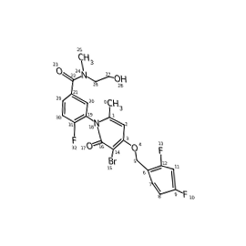 Cc1cc(OCc2ccc(F)cc2F)c(Br)c(=O)n1-c1cc(C(=O)N(C)CCO)ccc1F